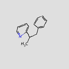 CC(Cc1ccccc1)c1ccccn1